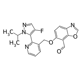 CC(C)n1ncc(F)c1-c1ncccc1COc1ccc2ncoc2c1C=O